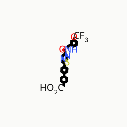 O=C(O)CC1CCC(c2ccc(-c3cn4cc(C(=O)NCc5cccc(OC(F)(F)F)c5)nc4s3)cc2)CC1